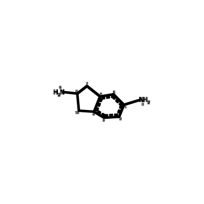 Nc1ccc2c(c1)CC(N)C2